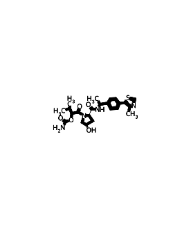 Cc1ncsc1-c1ccc(C(C)NC(=O)[C@@H]2C[C@@H](O)CN2C(=O)C(OC(N)=O)C(C)C)cc1